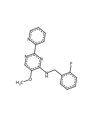 COc1cnc(-c2ccccn2)nc1NCc1ccccc1F